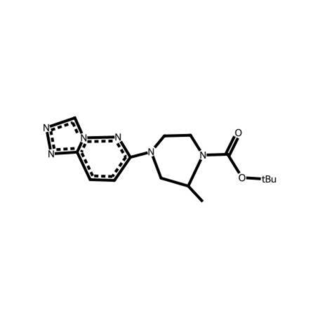 CC1CN(c2ccc3nncn3n2)CCN1C(=O)OC(C)(C)C